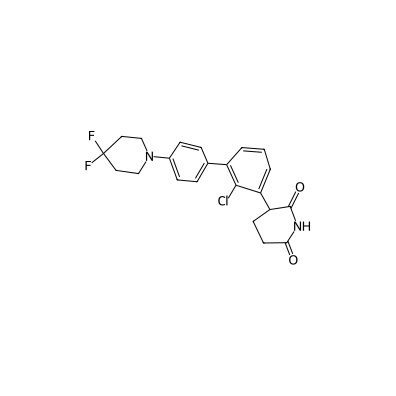 O=C1CCC(c2cccc(-c3ccc(N4CCC(F)(F)CC4)cc3)c2Cl)C(=O)N1